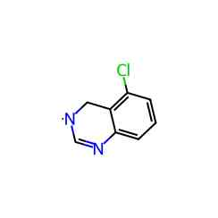 Clc1cccc2c1C[N]C=N2